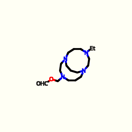 CCN1CCCN2CCCN(CCCN(COC=O)CC2)CC1